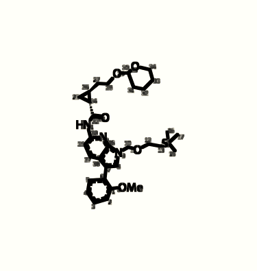 COc1ccccc1-c1cn(COCC[Si](C)(C)C)c2nc(NC(=O)[C@@H]3C[C@H]3CCOC3CCCCO3)ccc12